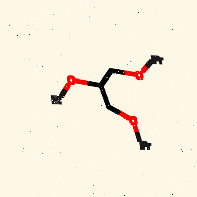 CCOC(COC(C)C)COC(C)C